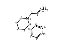 C=CCN1CCCCC1.c1ccncc1